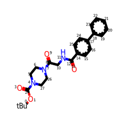 CC(C)(C)OC(=O)N1CCN(C(=O)CNC(=O)c2ccc(-c3ccccc3)cc2)CC1